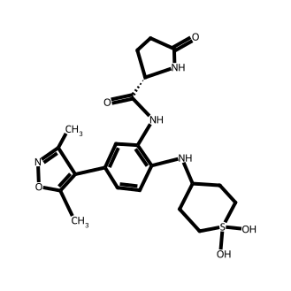 Cc1noc(C)c1-c1ccc(NC2CCS(O)(O)CC2)c(NC(=O)[C@@H]2CCC(=O)N2)c1